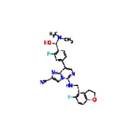 CN(C)C(O)c1ccc(-c2cnc(NCc3c(F)ccc4c3CCO4)n3cc(C#N)nc23)cc1F